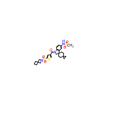 CS(=O)(=O)Nc1ccc2c(c1)C1(CCC3(CC3)CC1)CN2C(=O)c1csc(S(=O)(=O)N2CC3(CCC3)C2)c1